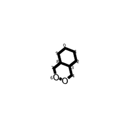 C1CCC2COOCC2C1